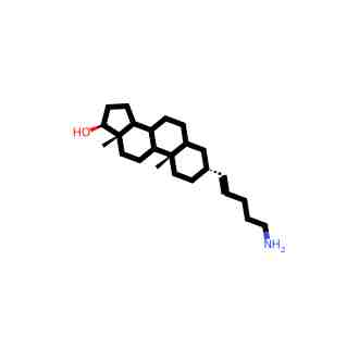 C[C@]12CC[C@@H](/C=C/CCCN)CC1CCC1C2CC[C@@]2(C)C1CC[C@@H]2O